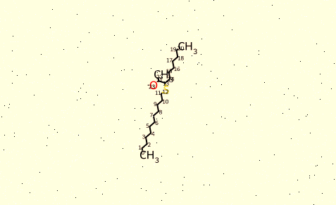 CCCCCCCCCCCCSC(CCCCCCC)C(C)[O]